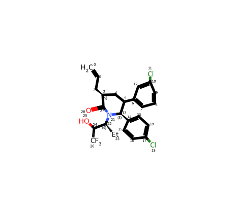 C=CC[C@H]1CC(c2cccc(Cl)c2)[C@@H](c2ccc(Cl)cc2)N([C@@H](CC)C(O)C(F)(F)F)C1=O